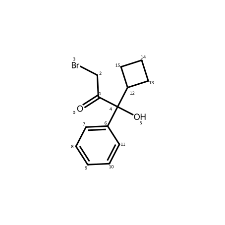 O=C(CBr)C(O)(c1ccccc1)C1CCC1